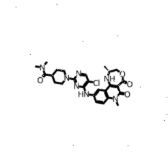 C[C@H]1COC(=O)c2c(c3cc(Nc4nc(N5CCC(C(=O)N(C)C)CC5)ncc4Cl)ccc3n(C)c2=O)N1